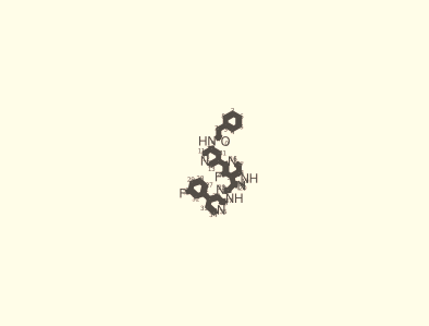 O=C(Cc1ccccc1)Nc1cncc(-c2ncc3[nH]nc(-c4nc5c(-c6cccc(F)c6)ccnc5[nH]4)c3c2F)c1